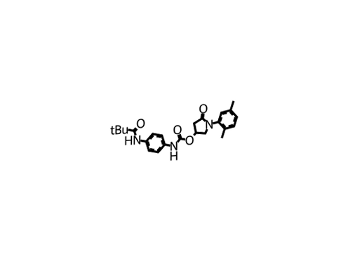 Cc1ccc(C)c(N2CC(OC(=O)Nc3ccc(NC(=O)C(C)(C)C)cc3)CC2=O)c1